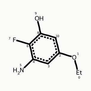 CCOc1cc(N)c(F)c(O)c1